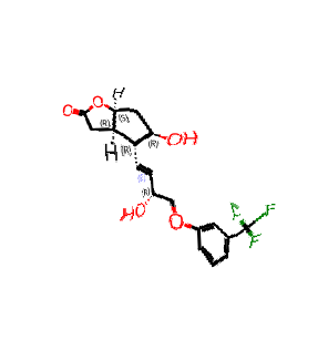 O=C1C[C@@H]2[C@@H](/C=C/[C@@H](O)COc3cccc(C(F)(F)F)c3)[C@H](O)C[C@@H]2O1